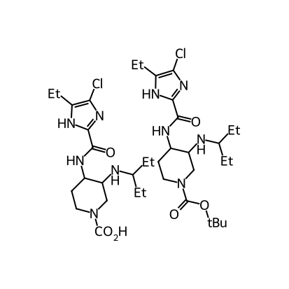 CCc1[nH]c(C(=O)NC2CCN(C(=O)O)CC2NC(CC)CC)nc1Cl.CCc1[nH]c(C(=O)NC2CCN(C(=O)OC(C)(C)C)CC2NC(CC)CC)nc1Cl